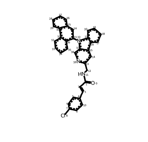 O=C(/C=C/c1ccc(Cl)cc1)NCc1cc2c3ccccc3n(-c3cc4ccccc4c4ccccc34)c2cn1